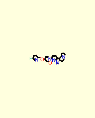 Cn1c2c(c3ccc(-n4ccc(OCc5ccc(F)cn5)cc4=O)nc31)C1CCCN1CC2